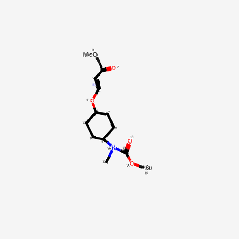 COC(=O)/C=C/OC1CCC(N(C)C(=O)OC(C)(C)C)CC1